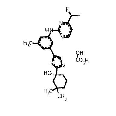 Cc1cc(Nc2nccc(C(F)F)n2)cc(-c2cnc([C@@]3(O)CCCC(C)(C)C3)s2)c1.O=C(O)O